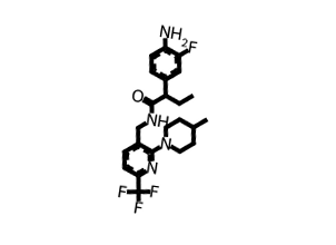 CCC(C(=O)NCc1ccc(C(F)(F)F)nc1N1CCC(C)CC1)c1ccc(N)c(F)c1